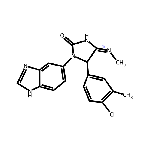 C/N=C1/NC(=O)N(c2ccc3[nH]cnc3c2)C1c1ccc(Cl)c(C)c1